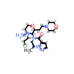 CCCN(C(=O)c1ccn[nH]1)C1C(CCN2CCOCC2)OCC[N+]1(N)CCCl